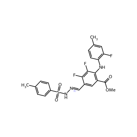 COC(=O)c1cc(/C=N/NS(=O)(=O)c2ccc(C)cc2)c(F)c(F)c1Nc1ccc(C)cc1F